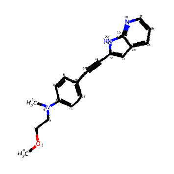 COCCN(C)c1ccc(C#Cc2cc3cccnc3[nH]2)cc1